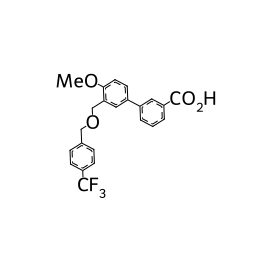 COc1ccc(-c2cccc(C(=O)O)c2)cc1COCc1ccc(C(F)(F)F)cc1